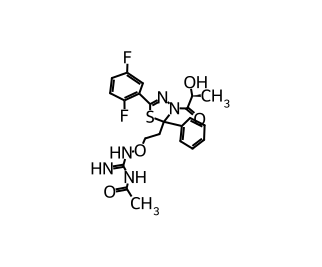 CC(=O)NC(=N)NOCCC1(c2ccccc2)SC(c2cc(F)ccc2F)=NN1C(=O)[C@H](C)O